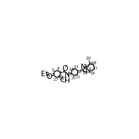 CCOc1ccc(C(=O)Nc2ccc(-c3cn4cccc(C)c4n3)cc2)c(Cl)c1